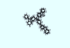 c1ccc(-n2c3ccccc3c3cc(N(c4ccc(-c5ccc6c(c5)Cc5ccccc5-6)cc4)c4ccc5c(c4)sc4ccccc45)ccc32)cc1